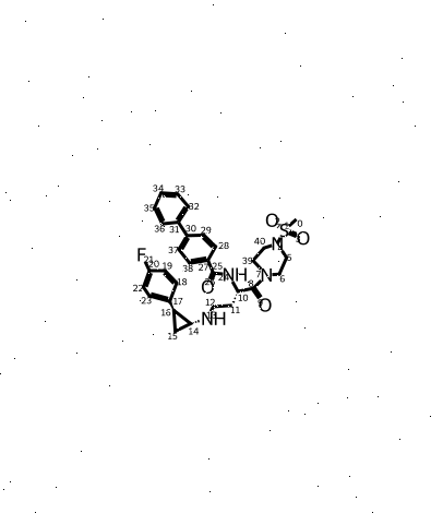 CS(=O)(=O)N1CCN(C(=O)[C@H](CCN[C@@H]2C[C@H]2c2ccc(F)cc2)NC(=O)c2ccc(-c3ccccc3)cc2)CC1